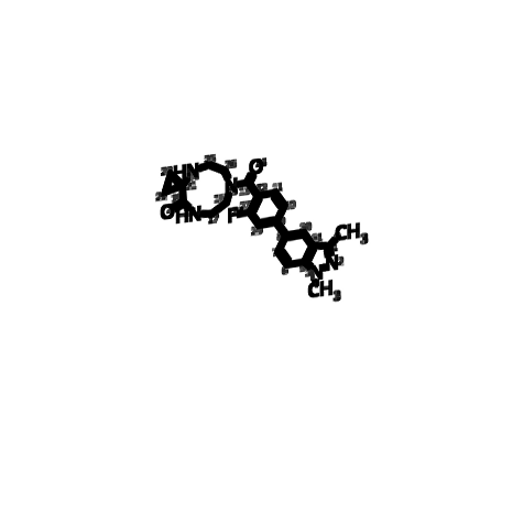 Cc1nn(C)c2ccc(-c3ccc(C(=O)N4CCNC(=O)C5(CC5)NCC4)c(F)c3)cc12